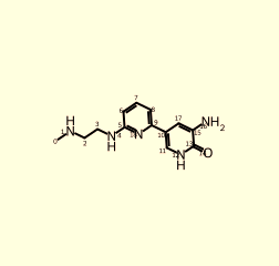 CNCCNc1cccc(-c2c[nH]c(=O)c(N)c2)n1